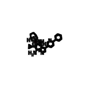 CNC(=O)N1C2CC[C@H]1CC(c1nc3c(-c4ccc(-c5ccccc5)nc4)cnn3c(N)c1C1CC1)C2